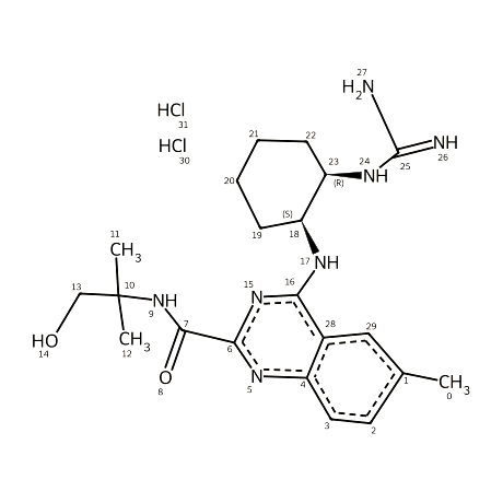 Cc1ccc2nc(C(=O)NC(C)(C)CO)nc(N[C@H]3CCCC[C@H]3NC(=N)N)c2c1.Cl.Cl